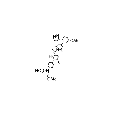 COCCN(C(=O)O)c1ccc(-c2[nH]c([C@@H]3CCc4cc(-c5cc(OC)ccc5-n5cnnn5)cc(=O)n43)nc2Cl)cc1